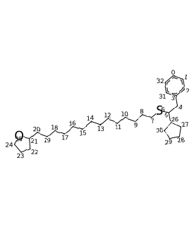 c1ccc(CC(SCCCCCCCCCCCCCCC2CCCO2)C2CCCC2)cc1